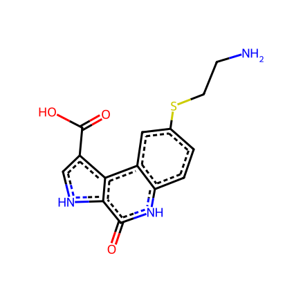 NCCSc1ccc2[nH]c(=O)c3[nH]cc(C(=O)O)c3c2c1